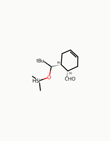 C[SiH](C)OC([C@@H]1CC=CC[C@@H]1C=O)C(C)(C)C